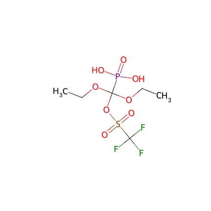 CCOC(OCC)(OS(=O)(=O)C(F)(F)F)P(=O)(O)O